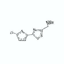 CNc1nc(-c2ccc(Cl)s2)cs1